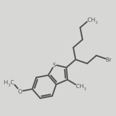 CCCCC(CCBr)c1sc2cc(OC)ccc2c1C